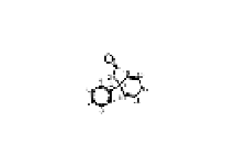 O=CCC1(c2ccccc2)C=CCC=C1